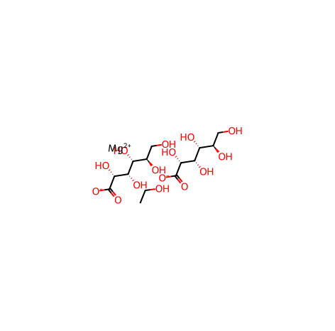 CCO.O=C([O-])[C@H](O)[C@@H](O)[C@H](O)[C@H](O)CO.O=C([O-])[C@H](O)[C@@H](O)[C@H](O)[C@H](O)CO.[Mg+2]